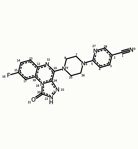 N#Cc1ccc(N2CCN(c3nc4ccc(F)cc4n4c(=O)[nH]nc34)CC2)nc1